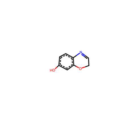 Oc1ccc2c(c1)OCC=N2